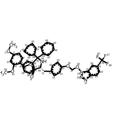 COc1ccc(COC(=O)[C@@H](Cc2ccc(OCOn3nnc4ccc(C(F)(F)F)cc43)cc2)NC(c2ccccc2)(c2ccccc2)c2ccccc2)c(OC)c1